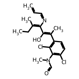 C=C\C=N/C(C(/O)=C(\C)c1ccc(Cl)c(N(C)C=O)c1Cl)=C(\C)CC